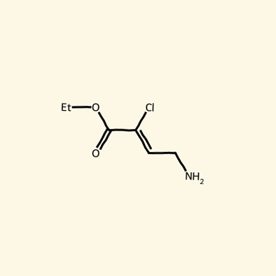 CCOC(=O)C(Cl)=CCN